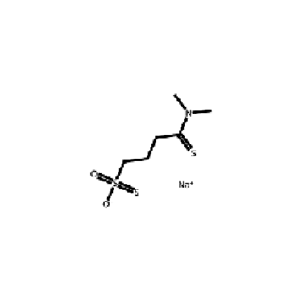 CN(C)C(=S)CCCS(=O)([O-])=S.[Na+]